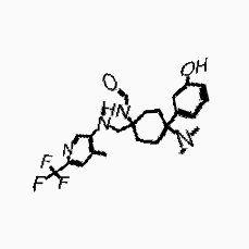 Cc1cc(C(F)(F)F)ncc1N(C)CC1(NC=O)CCC(c2cccc(O)c2)(N(C)C)CC1